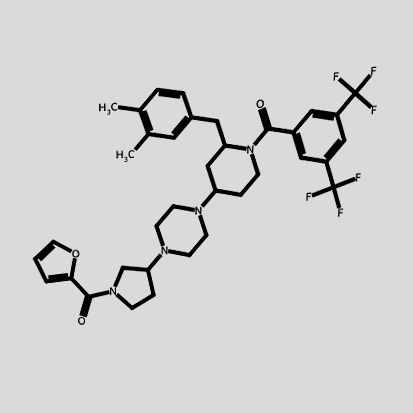 Cc1ccc(CC2CC(N3CCN(C4CCN(C(=O)c5ccco5)C4)CC3)CCN2C(=O)c2cc(C(F)(F)F)cc(C(F)(F)F)c2)cc1C